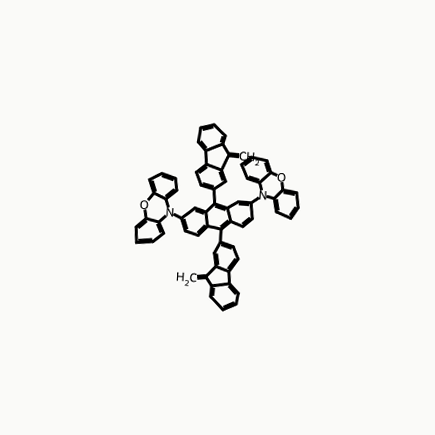 C=C1c2ccccc2-c2ccc(-c3c4ccc(N5c6ccccc6Oc6ccccc65)cc4c(-c4ccc5c(c4)C(=C)c4ccccc4-5)c4cc(N5c6ccccc6Oc6ccccc65)ccc34)cc21